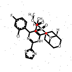 CNS(=O)(=O)N1CC2COC[C@@H](C1)N2CC1=C(C(=O)OC)C(c2ccc(F)cc2Cl)N=C(c2nccs2)N1